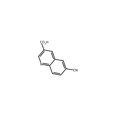 N#Cc1ccc2ncc(C(=O)O)cc2c1